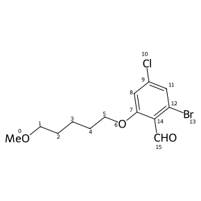 COCCCCCOc1cc(Cl)cc(Br)c1C=O